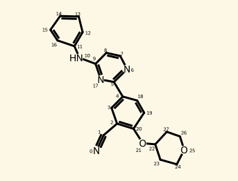 N#Cc1cc(-c2nccc(Nc3ccccc3)n2)ccc1OC1CCOCC1